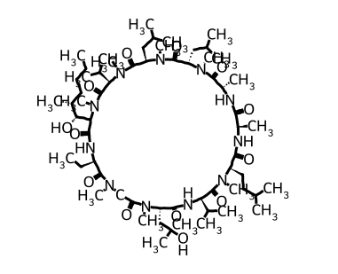 CCCC[C@@H](C)[C@@H](O)C1C(=O)N[C@H](CC)C(=O)N(C)CC(=O)N(C)[C@@H](CC(C)(C)O)C(=O)N[C@H](C(C)C)C(=O)N(C)[C@H](CCC(C)C)C(=O)N[C@H](C)C(=O)N[C@@H](C)C(=O)N(C)[C@@H](CC(C)C)C(=O)N(C)[C@H](CC(C)C)C(=O)N(C)[C@H](C(C)C)C(=O)N1C